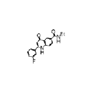 CCNC(=O)c1ccc2[nH]c(-c3cccc(F)c3)cc(=O)c2c1